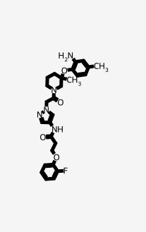 Cc1ccc(OC2(C)CCCN(C(=O)Cn3cc(NC(=O)CCOc4ccccc4F)cn3)C2)c(N)c1